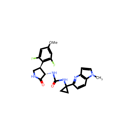 COc1cc(F)c([C@@H]2CNC(=O)[C@H]2NC(=O)NC2(c3ccc4c(ccn4C)n3)CC2)c(F)c1